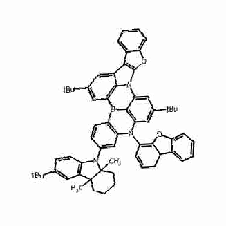 CC(C)(C)c1cc2c3c(c1)-n1c4oc5ccccc5c4c4cc(C(C)(C)C)cc(c41)B3c1ccc(N3c4ccc(C(C)(C)C)cc4C4(C)CCCCC34C)cc1N2C1=C2Oc3ccccc3C2CC=C1